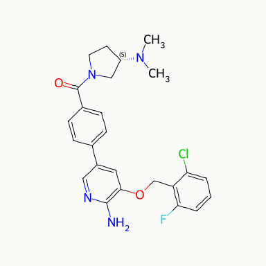 CN(C)[C@H]1CCN(C(=O)c2ccc(-c3cnc(N)c(OCc4c(F)cccc4Cl)c3)cc2)C1